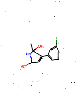 CC1(O)NC(O)C=C1c1cccc(F)c1